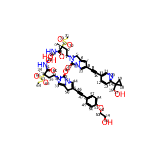 C[C@@](CCN1Cc2cc(C#Cc3ccc(C4(CO)CC4)nc3)cn2C1=O)(C(=O)NO)S(C)(=O)=O.C[C@@](CCn1cc2n(c1=O)C=C(C#Cc1ccc(OCCO)cc1)C2)(C(=O)NO)S(C)(=O)=O